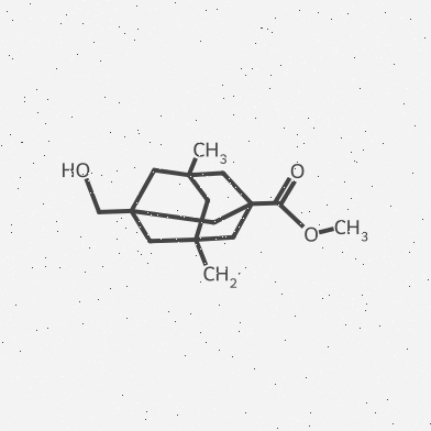 [CH2]C12CC3(C)CC(CO)(C1)CC(C(=O)OC)(C2)C3